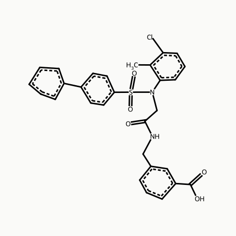 Cc1c(Cl)cccc1N(CC(=O)NCc1cccc(C(=O)O)c1)S(=O)(=O)c1ccc(-c2ccccc2)cc1